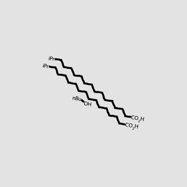 CC(C)CCCCCCCCCCCCCCC(=O)O.CC(C)CCCCCCCCCCCCCCC(=O)O.CCCCO